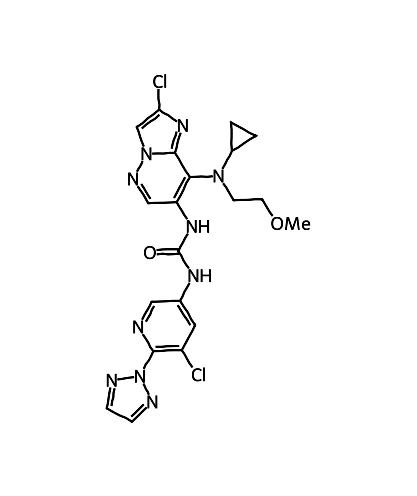 COCCN(c1c(NC(=O)Nc2cnc(-n3nccn3)c(Cl)c2)cnn2cc(Cl)nc12)C1CC1